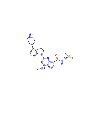 CNc1cc(N2CCc3c(C4CCNCC4)cccc32)nn2c(C(=O)N[C@@H]3C[C@@H]3F)cnc12